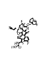 N#C/C=C/[C@H]1COc2c(Cl)c(-c3ccc(F)c4sc(NC(=O)O)c(C#N)c34)c(F)c3nc(OC[C@@]45CCCN4C[C@H](F)C5)nc(c23)N1CC(F)F